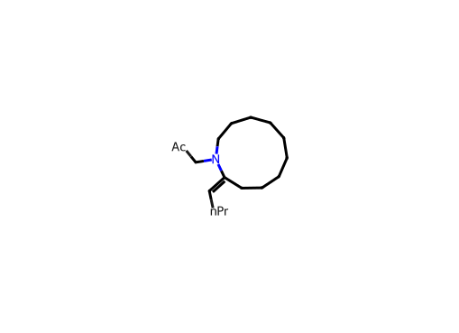 CCC/C=C1\CCCCCCCCCN1CC(C)=O